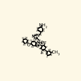 Cc1cccc(-c2cc(F)c(S(=O)(=O)N(Cc3nncn3Cc3ccc(N)cc3)c3ccc(Oc4ccccc4)cc3)cc2F)c1